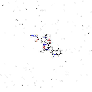 CNC(=O)[C@H](CCC(=O)C=[N+]=[N-])NC(=O)[C@H](Cc1c[nH]c2ccccc12)NC(C)=O